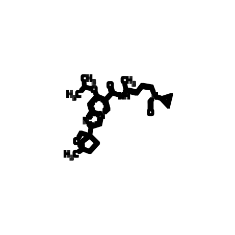 C/C(=C\C=C/N(C=O)C1CC1)NC(=O)c1cn2cc(C34CCC(C)(C3)OC4)nc2cc1OC(C)C